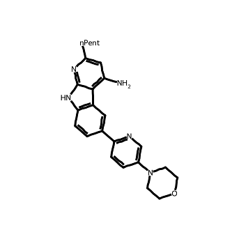 CCCCCc1cc(N)c2c(n1)[nH]c1ccc(-c3ccc(N4CCOCC4)cn3)cc12